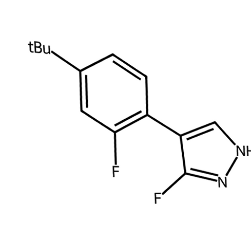 CC(C)(C)c1ccc(-c2c[nH]nc2F)c(F)c1